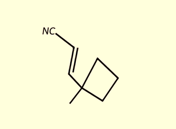 CC1(C=CC#N)CCC1